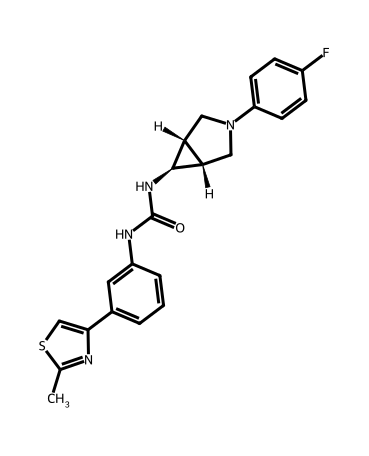 Cc1nc(-c2cccc(NC(=O)N[C@H]3[C@@H]4CN(c5ccc(F)cc5)C[C@@H]43)c2)cs1